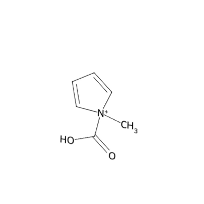 C[N+]1(C(=O)O)C=CC=C1